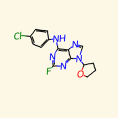 Fc1nc(Nc2ccc(Cl)cc2)c2ncn(C3CCCO3)c2n1